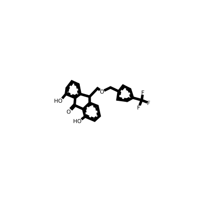 O=C1c2c(O)cccc2C(COCc2ccc(C(F)(F)F)cc2)c2cccc(O)c21